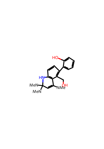 CNC1=CC(NC)(NC)Nc2ccc(-c3ccccc3O)c(CO)c21